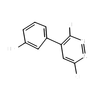 Cc1cccc(-c2cc(Cl)nnc2Cl)c1